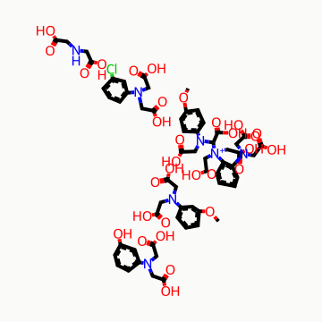 COc1ccc(N(CC(=O)O)C(C(=O)O)[N+](CC(=O)O)(CC(=O)O)c2ccccc2N(CC(=O)O)CC(=O)O)cc1.COc1cccc(N(CC(=O)O)CC(=O)O)c1.O=C(O)CN(CC(=O)O)c1cccc(Cl)c1.O=C(O)CN(CC(=O)O)c1cccc(O)c1.O=C(O)CNCC(=O)O